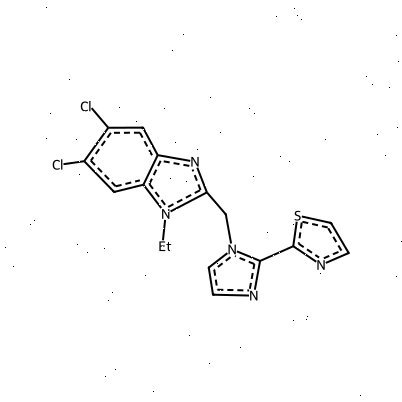 CCn1c(Cn2ccnc2-c2nccs2)nc2cc(Cl)c(Cl)cc21